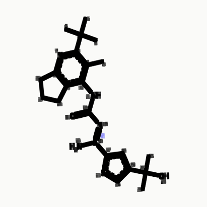 Cc1c(C(C)(C)C)nc2c(c1NC(=O)/N=S(\N)c1cc(C(C)(C)O)cs1)CCC2